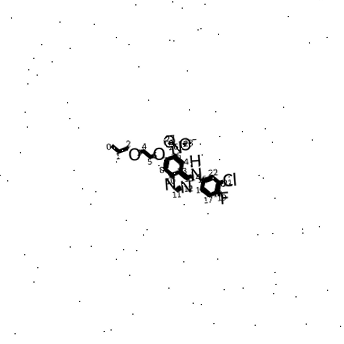 CCCOCCOc1cc2ncnc(Nc3ccc(F)c(Cl)c3)c2cc1[N+](=O)[O-]